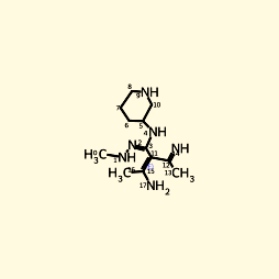 CNN=C(NC1CCCNC1)/C(C(C)=N)=C(\C)N